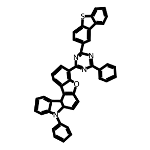 C1=CC2C(c3ccccc3N2c2ccccc2)c2c1oc1c(-c3nc(-c4ccccc4)nc(-c4ccc5sc6ccccc6c5c4)n3)cccc21